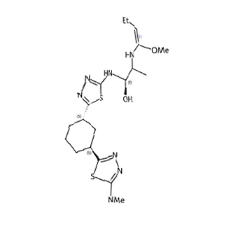 CC/C=C(\NC(C)[C@@H](O)Nc1nnc([C@H]2CCC[C@H](c3nnc(NC)s3)C2)s1)OC